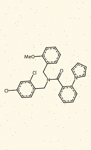 COc1ccccc1CN(Cc1ccc(Cl)cc1Cl)C(=O)c1ccccc1-n1cccc1